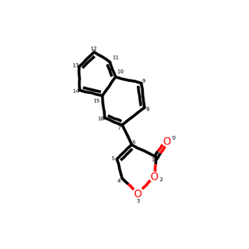 O=C1OOCC=C1c1ccc2ccccc2c1